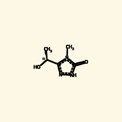 C[C@H](O)c1n[nH]c(=O)n1C